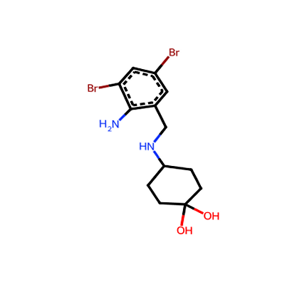 Nc1c(Br)cc(Br)cc1CNC1CCC(O)(O)CC1